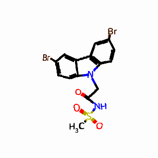 CS(=O)(=O)NC(=O)Cn1c2ccc(Br)cc2c2cc(Br)ccc21